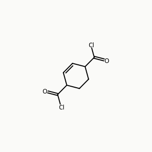 O=C(Cl)C1C=CC(C(=O)Cl)CC1